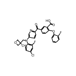 CC1(CN(c2ccc(C(=O)c3ccc(Oc4ccccc4F)c(C(=O)O)c3)nc2)c2ccc(Cl)cc2F)COC1